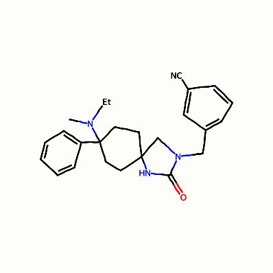 CCN(C)C1(c2ccccc2)CCC2(CC1)CN(Cc1cccc(C#N)c1)C(=O)N2